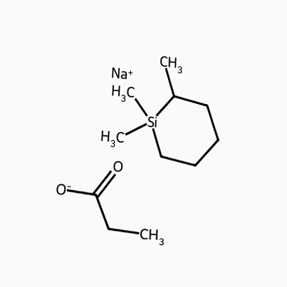 CC1CCCC[Si]1(C)C.CCC(=O)[O-].[Na+]